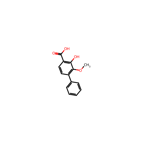 COc1c(-c2ccccc2)ccc(C(=O)O)c1O